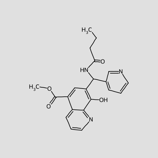 CCCC(=O)NC(c1cccnc1)c1cc(C(=O)OC)c2cccnc2c1O